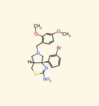 COc1ccc(CN2C[C@H]3CSC(N)=N[C@@]3(c3cccc(Br)c3)C2)c(OC)c1